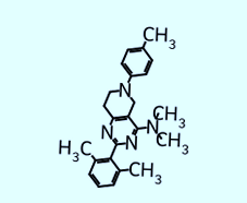 Cc1ccc(N2CCc3nc(-c4c(C)cccc4C)nc(N(C)C)c3C2)cc1